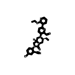 CCOc1ncccc1-c1ccc(N2C[C@H]3CN(c4ccc(Cl)cc4C#N)C(=O)N3C[C@H]2CC)c(C=O)n1